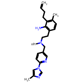 C=CCCc1c(C)ccc(CCN(CCC)Cc2ccc(-n3cnc(C)c3)nc2)c1N